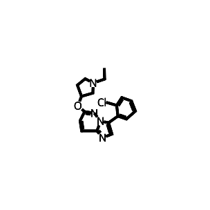 CCN1CCC(Oc2ccc3ncc(-c4ccccc4Cl)n3n2)C1